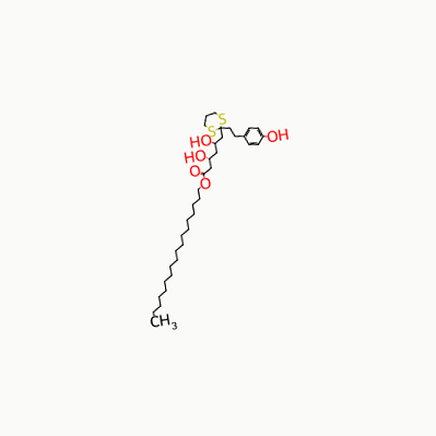 CCCCCCCCCCCCCCCCCCOC(=O)C[C@H](O)C[C@@H](O)CC1(CCc2ccc(O)cc2)SCCCS1